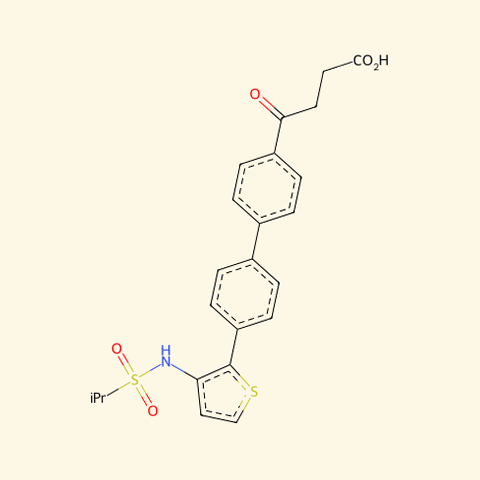 CC(C)S(=O)(=O)Nc1ccsc1-c1ccc(-c2ccc(C(=O)CCC(=O)O)cc2)cc1